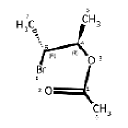 CC(=O)O[C@H](C)[C@@H](C)Br